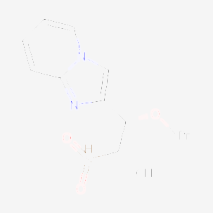 CC(C)O[C@@H](c1cn2ccccc2n1)[C@H](C)[SH](=O)=O